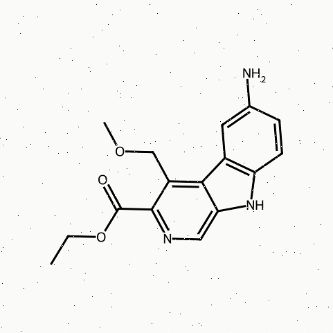 CCOC(=O)c1ncc2[nH]c3ccc(N)cc3c2c1COC